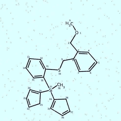 COCc1ccccc1CSc1ccccc1[Si](C)(C1=CC=CC1)C1=CC=CC1